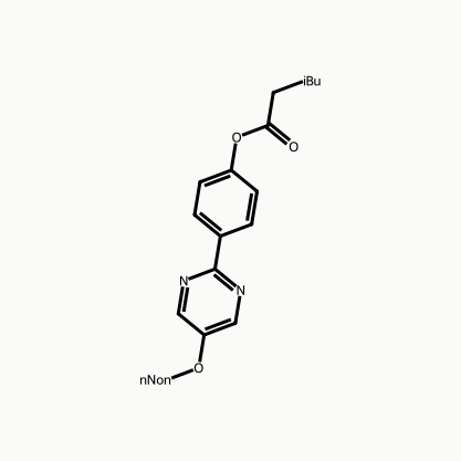 CCCCCCCCCOc1cnc(-c2ccc(OC(=O)CC(C)CC)cc2)nc1